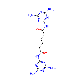 Nc1nc(N)nc(NC(=O)CCCCC(=O)Nc2nc(N)nc(N)n2)n1